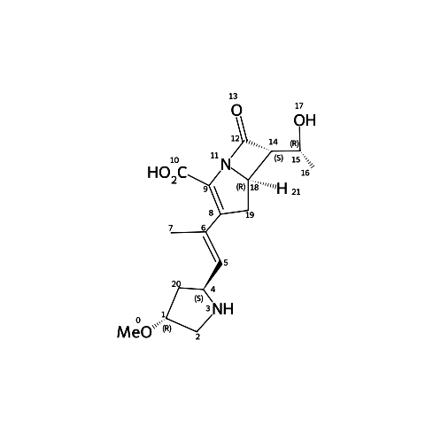 CO[C@H]1CN[C@H](C=C(C)C2=C(C(=O)O)N3C(=O)[C@H]([C@@H](C)O)[C@H]3C2)C1